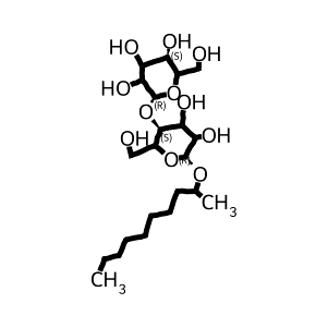 CCCCCCCCC(C)O[C@@H]1OC(CO)[C@@H](O[C@H]2OC(CO)[C@@H](O)C(O)C2O)C(O)C1O